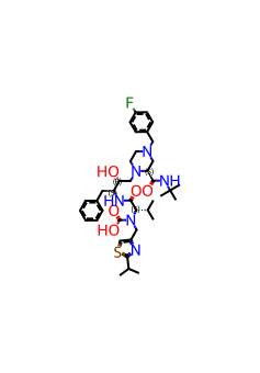 CC(C)c1nc(CN(C(=O)O)[C@H](C(=O)N[C@@H](Cc2ccccc2)[C@H](O)CN2CCN(Cc3ccc(F)cc3)C[C@H]2C(=O)NC(C)(C)C)C(C)C)cs1